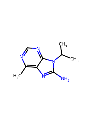 Cc1ncnc2c1nc(N)n2C(C)C